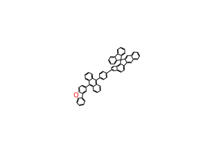 c1ccc2c(c1)-c1ccccc1C21c2cc3ccccc3cc2-c2ccc3cc(-c4ccc(-c5c6ccccc6c(-c6ccc7oc8ccccc8c7c6)c6ccccc56)cc4)ccc3c21